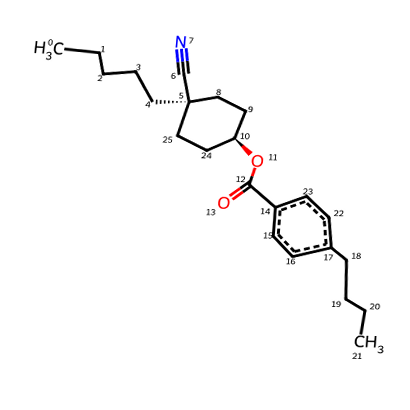 CCCCC[C@]1(C#N)CC[C@@H](OC(=O)c2ccc(CCCC)cc2)CC1